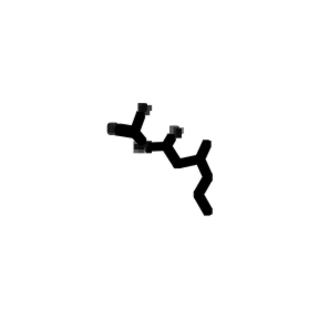 CCCC(C)CC(Br)NC(=O)Br